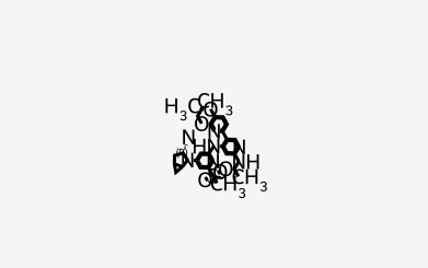 CC(=O)Nc1cc(Nc2cc(N3C4CC4C[C@@H]3C#N)cc(S(C)(=O)=O)n2)c(-c2ccc3c(n2)OCC(C)(C)O3)cn1